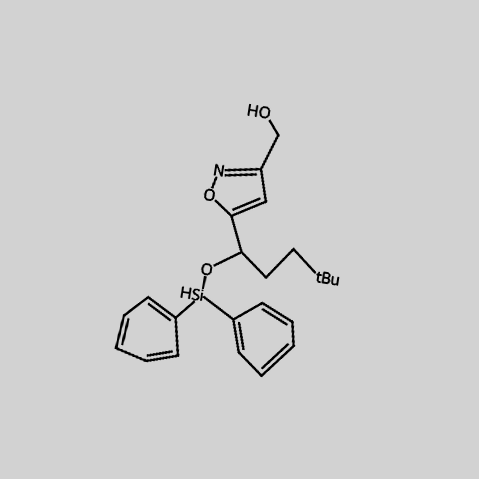 CC(C)(C)CCC(O[SiH](c1ccccc1)c1ccccc1)c1cc(CO)no1